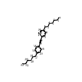 CCCCCCCc1ccc(C#Cc2ccc(CCCCCC)cc2)nc1